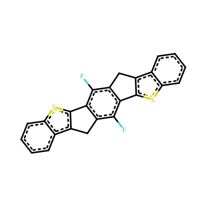 Fc1c2c(c(F)c3c1-c1sc4ccccc4c1C3)-c1sc3ccccc3c1C2